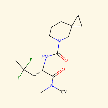 CN(C#N)C(=O)[C@H](CC(C)(F)F)NC(=O)N1CCCC2(CC2)C1